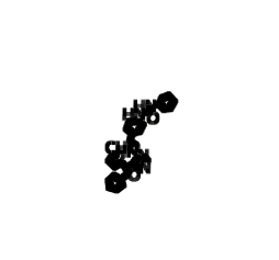 O=Cc1ccc(-c2c(-c3ccccc3)oc3ncnc(NCCc4ccc(NC(=O)Nc5ccccc5)cc4)c23)o1